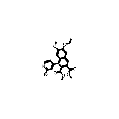 CCOc1cc2cc(C(=O)OC)c(C(=O)OC)c(-c3ccnc(Br)c3)c2cc1OC